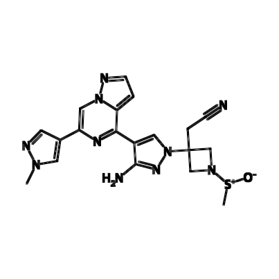 Cn1cc(-c2cn3nccc3c(-c3cn(C4(CC#N)CN([S+](C)[O-])C4)nc3N)n2)cn1